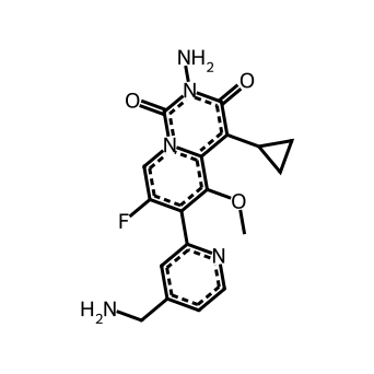 COc1c(-c2cc(CN)ccn2)c(F)cn2c(=O)n(N)c(=O)c(C3CC3)c12